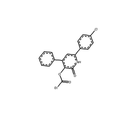 CCC(=O)Oc1c(-c2ccccc2)cc(-c2ccc(Cl)cc2)[nH]c1=O